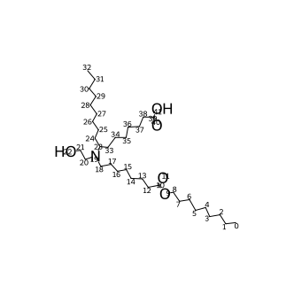 CCCCCCCCCOC(=O)CCCCCCCN(CCO)C(CCCCCCCCC)CCCCCCC(=O)O